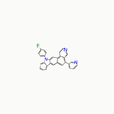 Fc1ccc(-n2c3ccccc3c3cc4cc(-c5cccnc5)c5cnccc5c4cc32)cc1